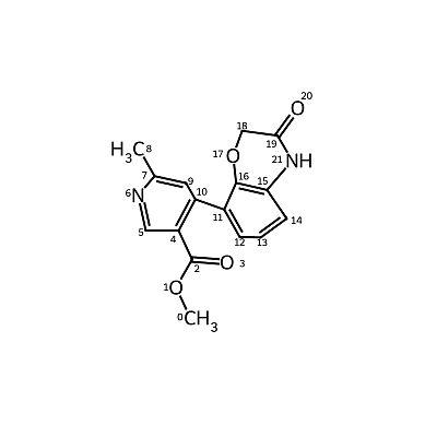 COC(=O)c1cnc(C)cc1-c1cccc2c1OCC(=O)N2